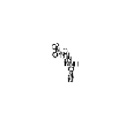 C=CC(=O)N1CC(N2Cc3cnc(Nc4ccc(N5CCN(C)CC5)cc4)nc3N(C)C2=O)c2ccccc21